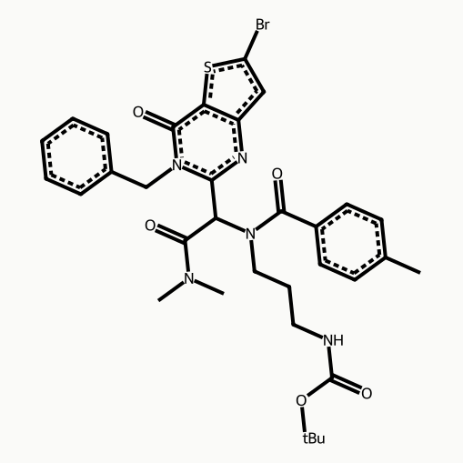 Cc1ccc(C(=O)N(CCCNC(=O)OC(C)(C)C)C(C(=O)N(C)C)c2nc3cc(Br)sc3c(=O)n2Cc2ccccc2)cc1